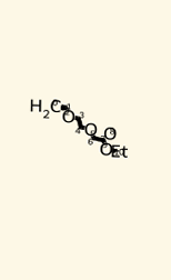 C=COCCOCC(=O)OCC